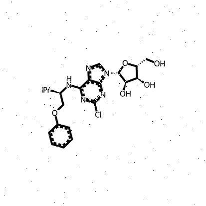 CC(C)[C@H](COc1ccccc1)Nc1nc(Cl)nc2c1ncn2[C@@H]1O[C@H](CO)[C@@H](O)[C@H]1O